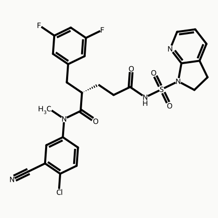 CN(C(=O)[C@@H](CCC(=O)NS(=O)(=O)N1CCc2cccnc21)Cc1cc(F)cc(F)c1)c1ccc(Cl)c(C#N)c1